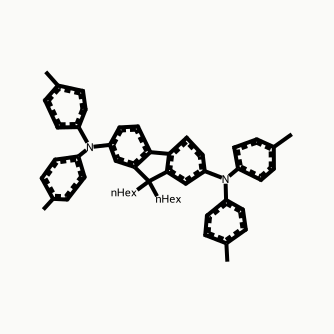 CCCCCCC1(CCCCCC)c2cc(N(c3ccc(C)cc3)c3ccc(C)cc3)ccc2-c2ccc(N(c3ccc(C)cc3)c3ccc(C)cc3)cc21